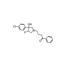 O=C(CCCN1CC(F)C(O)(c2ccc(Cl)cc2)C1)c1ccccc1